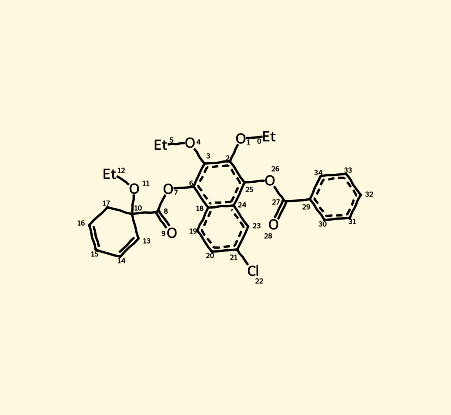 CCOc1c(OCC)c(OC(=O)C2(OCC)C=CC=CC2)c2ccc(Cl)cc2c1OC(=O)c1ccccc1